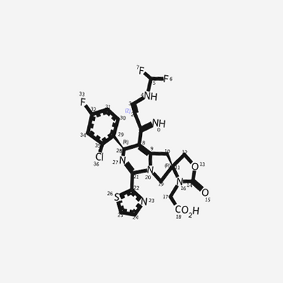 N=C(/C=C\NC(F)F)C1=C2C[C@]3(COC(=O)N3CC(=O)O)CN2C(c2nccs2)=N[C@H]1c1ccc(F)cc1Cl